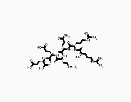 CSCC[C@@H](NC(=O)[C@H](CCC(N)=O)NC(=O)[C@H](CCCNC(=N)N)NC(=O)[C@@H](N)CCCNC(=N)N)C(=O)N[C@H](CCC(=O)O)C(=O)N[C@@H](CCC(=O)O)C(=O)O